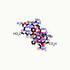 CC[C@H](C)[C@H](NC(=O)[C@H](CC(=O)O)NC(=O)[C@@H](N)CCCNC(=N)N)C(=O)N[C@@H](CCC(=O)O)C(=O)N[C@@H](CCC(N)=O)C(=O)N[C@H](C(=O)N1CCC[C@H]1C(=O)N[C@@H](CCC(N)=O)C(=O)N[C@@H](CCC(N)=O)C(=O)N1CCC[C@H]1C(=O)N[C@@H](CC(C)C)C(=O)N[C@H](C(=O)N[C@@H](CC(N)=O)C(=O)N[C@@H](CCC(=O)O)C(=O)N[C@@H](Cc1ccccc1)C(=O)O)[C@@H](C)CC)C(C)C